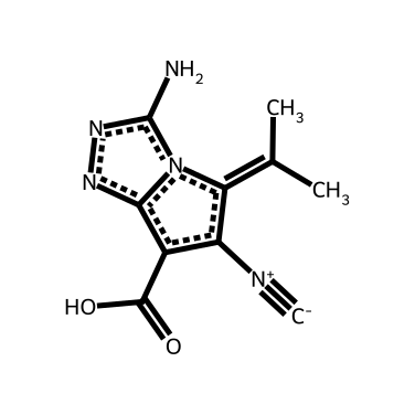 [C-]#[N+]c1c(C(=O)O)c2nnc(N)n2c1=C(C)C